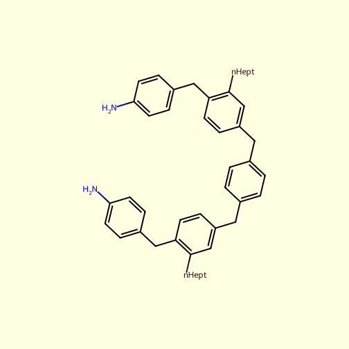 CCCCCCCc1cc(Cc2ccc(Cc3ccc(Cc4ccc(N)cc4)c(CCCCCCC)c3)cc2)ccc1Cc1ccc(N)cc1